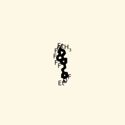 CCOc1ccc(CCc2ccc3c(c2F)C(F)C(F)C2=C(F)C(C)(OCC)CC=C23)cc1F